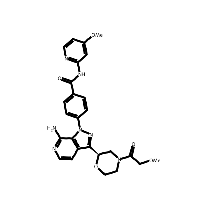 COCC(=O)N1CCO[C@@H](c2nn(-c3ccc(C(=O)Nc4cc(OC)ccn4)cc3)c3c(N)nccc23)C1